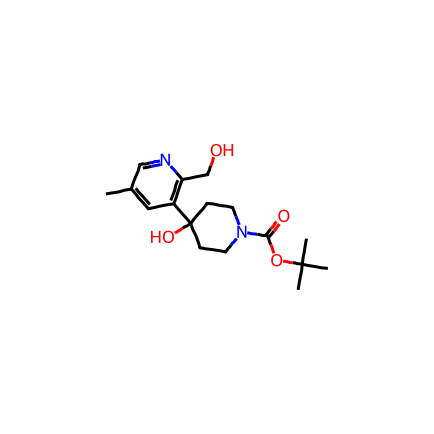 Cc1cnc(CO)c(C2(O)CCN(C(=O)OC(C)(C)C)CC2)c1